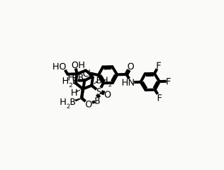 BC1(B)C2CC(O)(CO)C[C@@H]3[C@@]1(B)OB=S(=O)(c1cc(C(=O)Nc4cc(F)c(F)c(F)c4)ccc1Cl)[C@]23B